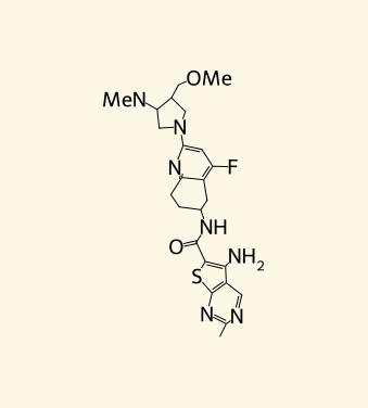 CNC1CN(c2cc(F)c3c(n2)CCC(NC(=O)c2sc4nc(C)ncc4c2N)C3)CC1COC